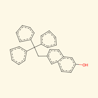 Oc1ccc2cc(CC(c3ccccc3)(c3ccccc3)c3ccccc3)ccc2c1